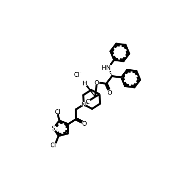 O=C(C[N+]12CCC(CC1)[C@@H](OC(=O)[C@H](Nc1ccccc1)c1ccccc1)C2)c1cc(Cl)sc1Cl.[Cl-]